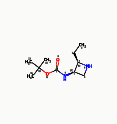 CC[C@H]1NC[C@H]1NC(=O)OC(C)(C)C